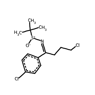 CC(C)(C)[S+]([O-])/N=C(/CCCCl)c1ccc(Cl)cc1